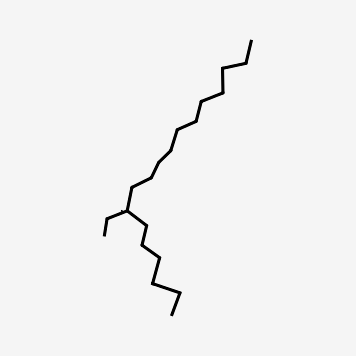 CCCCCCCCCCC[C](CC)CCCCCC